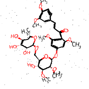 COc1ccc(/C=C/C(=O)c2c(OC)cc(O[C@@H]3O[C@H](CO[C@@H]4O[C@@H](C)[C@H](O)[C@@H](O)[C@H]4O)[C@@H](O)[C@H](OC)[C@H]3OC)cc2OC)cc1OC